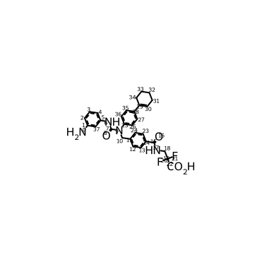 Nc1cccc(NC(=O)N(Cc2ccc(C(=O)NCC(F)(F)C(=O)O)cc2)c2ccc(C3=CCCCC3)cc2)c1